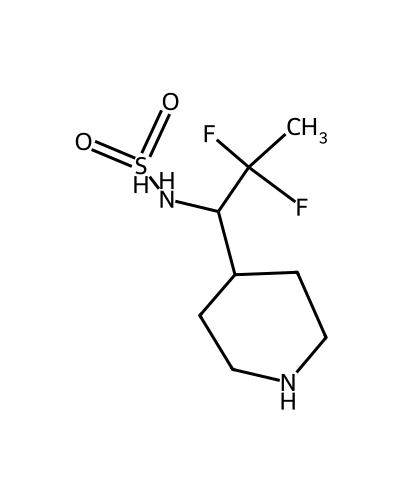 CC(F)(F)C(N[SH](=O)=O)C1CCNCC1